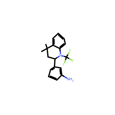 CC1(C)CC(c2cccc(N)c2)N(C(F)(F)F)c2ccccc21